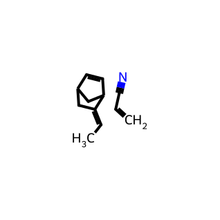 C=CC#N.CC=C1CC2C=CC1C2